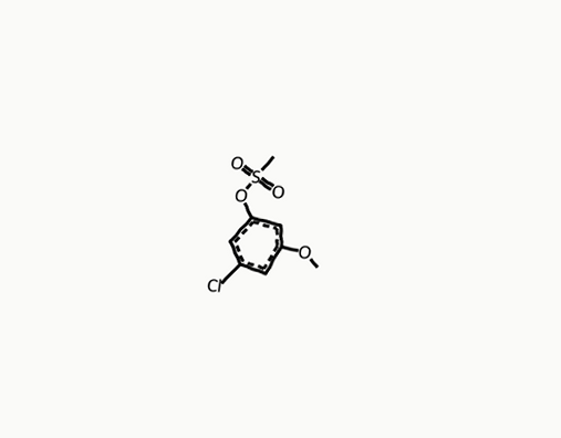 COc1cc(Cl)cc(OS(C)(=O)=O)c1